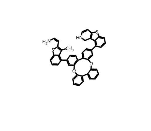 Cc1c(/C=C\N)sc2cccc(-c3ccc4c(c3)Oc3ccccc3-c3ccccc3Oc3cc(-c5cccc6sc7c(c56)CNC=C7)ccc3-4)c12